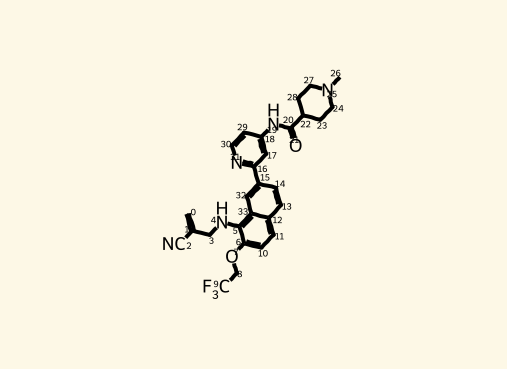 C=C(C#N)CNc1c(OCC(F)(F)F)ccc2ccc(-c3cc(NC(=O)C4CCN(C)CC4)ccn3)cc12